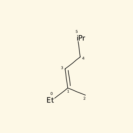 CCC(C)=CCC(C)C